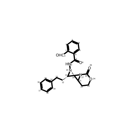 O=Cc1ccccc1C(=O)NN1[C@@H](CCc2ccccc2)[C@@]12C1CCOC(=O)N12